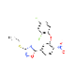 CCSc1noc(-c2ccc([N+](=O)[O-])c(Oc3ccc(F)cc3F)c2)n1